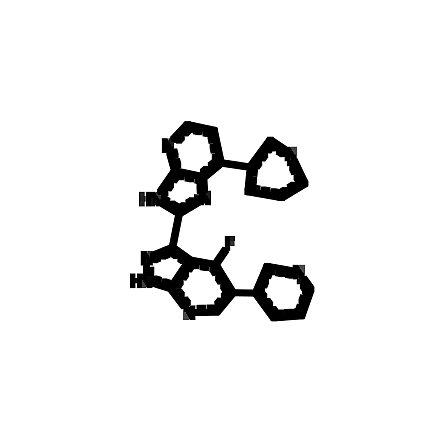 Fc1c(-c2cccnc2)cnc2[nH]nc(-c3nc4c(-c5cccnc5)ccnc4[nH]3)c12